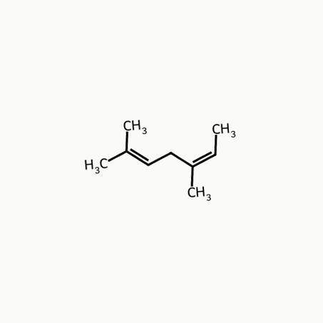 CC=C(C)CC=C(C)C